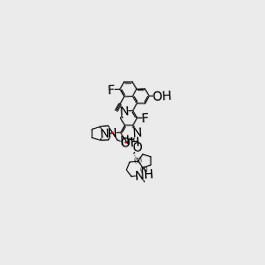 C#Cc1c(F)ccc2cc(O)cc(-c3ncc4c(N5CC6CCC(C5)N6CCO)nc(OC[C@]56CCC[C@H]5N(C)CCC6)nc4c3F)c12